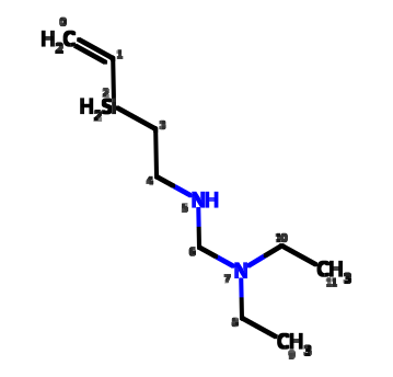 C=C[SiH2]CCNCN(CC)CC